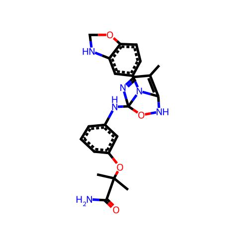 CC1=C2NOC(Nc3cccc(OC(C)(C)C(N)=O)c3)(N=C1)N2c1ccc2c(c1)NCO2